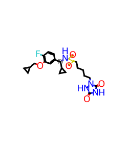 O=c1[nH]c(=O)n(CCCCCS(=O)(=O)N[C@@H](c2ccc(F)c(OCC3CC3)c2)C2CC2)[nH]1